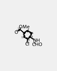 COC(=O)c1ccc(NC=O)c(Cl)c1